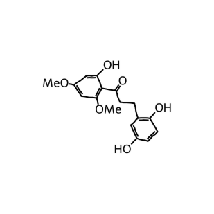 COc1cc(O)c(C(=O)CCc2cc(O)ccc2O)c(OC)c1